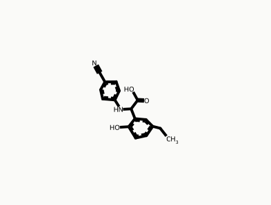 CCc1ccc(O)c(C(Nc2ccc(C#N)cc2)C(=O)O)c1